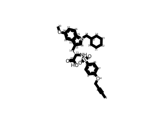 CC#CCOc1ccc(S(=O)(=O)N[C@@H](Cc2cn(CC3CCCCC3)c3ccc(OC)cc23)C(=O)O)cc1